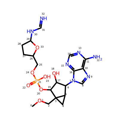 COCC12CC1C(n1cnc3c(N)ncnc31)C(O)C2OP(=O)(O)OCC1CCC(NC=N)O1